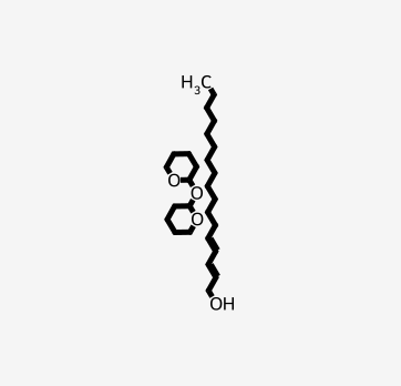 C1CCC(OC2CCCCO2)OC1.CCCCCCCCCCCCC=CC=CCO